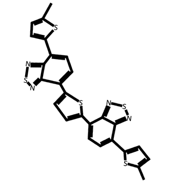 Cc1ccc(-c2ccc(-c3ccc(-c4ccc(-c5ccc(C)s5)c5nsnc45)s3)c3nsnc23)s1